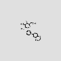 OC[C@H]1O[C@H](c2cccc(-c3ccc4c(c3)OCCO4)c2)[C@@H](O)[C@@H](O)[C@@H]1O